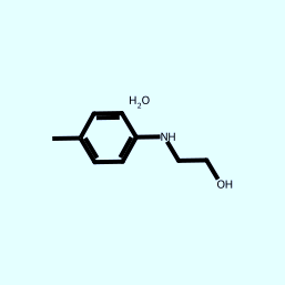 Cc1ccc(NCCO)cc1.O